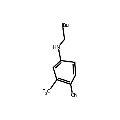 CCC(C)CNc1ccc(C#N)c(C(F)(F)F)c1